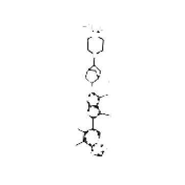 Cc1c(-c2[nH]c3sc(C4C[C@@H]5C[C@H]4CC5N4CCS(=N)(=O)CC4)c(C)c3c2C(C)C)cn2ncnc2c1C